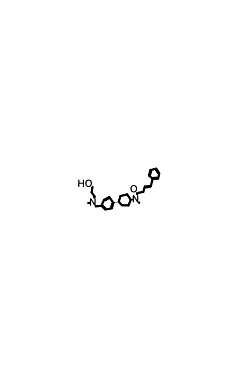 CN(CCCO)Cc1ccc([C@H]2CC[C@H](N(C)C(=O)CC=Cc3ccccc3)CC2)cc1